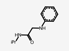 CC(C)NC(=O)CNc1ccccc1